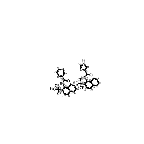 O=C(Nc1c(C(O)(C(F)(F)F)C(F)(F)F)ccc2ccccc12)c1c[nH]cn1.O=C(Nc1c(C(O)(C(F)(F)F)C(F)(F)F)ccc2ccccc12)c1cccnc1